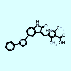 Cc1[nH]c(/C=C2\C(=O)Nc3ccc(-c4ccc(-c5ccccc5)s4)cc32)c(C)c1C(=O)O